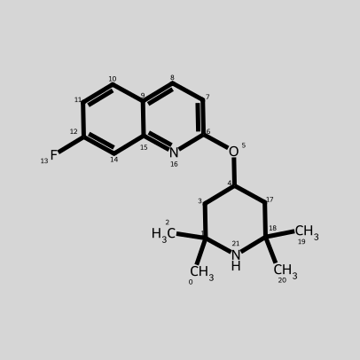 CC1(C)CC(Oc2ccc3ccc(F)cc3n2)CC(C)(C)N1